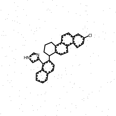 Clc1ccc2c(ccc3c4c(ccc32)C(c2ccc3ccccc3c2-c2c[nH]cn2)CCC4)c1